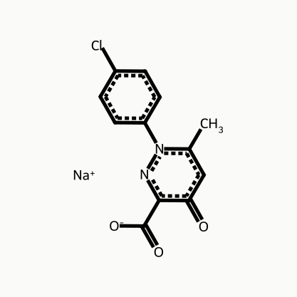 Cc1cc(=O)c(C(=O)[O-])nn1-c1ccc(Cl)cc1.[Na+]